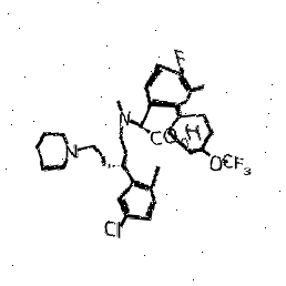 Cc1ccc(Cl)cc1[C@H](CCN1CCCCC1)CCN(C)[C@H](C(=O)O)c1ccc(F)c(C)c1C1CCC(OC(F)(F)F)CC1